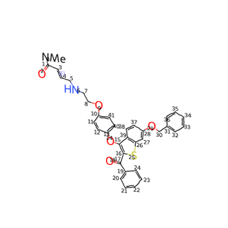 CNC(=O)/C=C/CNCCOc1ccc(Oc2c(C(=O)c3ccccc3)sc3cc(OCc4ccccc4)ccc23)cc1